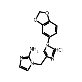 Cl.Nc1nccn1Cc1cn(-c2ccc3c(c2)OCO3)cn1